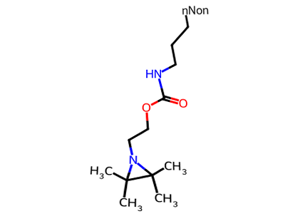 [CH2]CCCCCCCCCCCNC(=O)OCCN1C(C)(C)C1(C)C